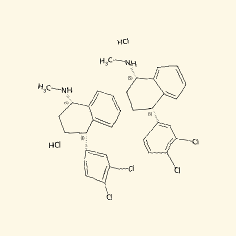 CN[C@H]1CC[C@@H](c2ccc(Cl)c(Cl)c2)c2ccccc21.CN[C@H]1CC[C@@H](c2ccc(Cl)c(Cl)c2)c2ccccc21.Cl.Cl